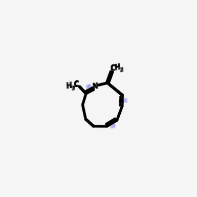 C=C1/C=C\C=C/CCC/C(C)=N\1